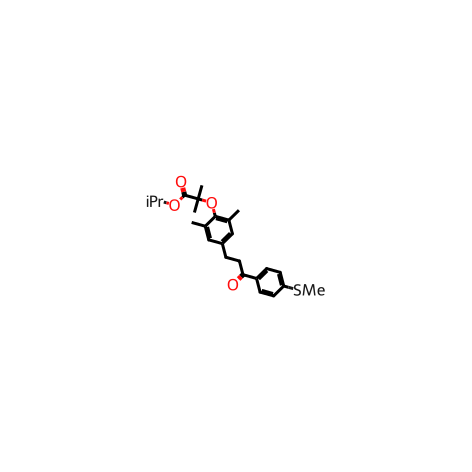 CSc1ccc(C(=O)CCc2cc(C)c(OC(C)(C)C(=O)OC(C)C)c(C)c2)cc1